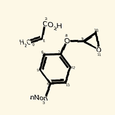 C=CC(=O)O.CCCCCCCCCc1ccc(OC2CO2)cc1